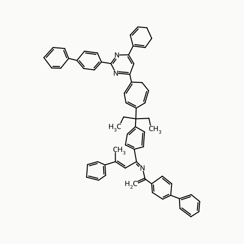 C=C(/N=C(\C=C(/C)c1ccccc1)c1ccc(C(CC)(CC)C2=CC=C(c3cc(C4=CCCC=C4)nc(-c4ccc(-c5ccccc5)cc4)n3)CC=C2)cc1)c1ccc(-c2ccccc2)cc1